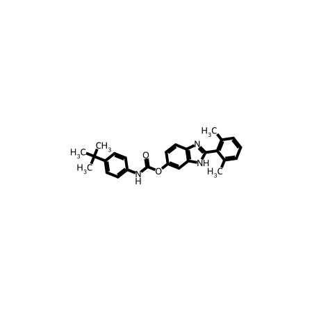 Cc1cccc(C)c1-c1nc2ccc(OC(=O)Nc3ccc(C(C)(C)C)cc3)cc2[nH]1